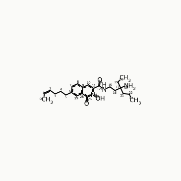 C/C=C\CCCc1ccc2cc(C(=O)NCCC(N)(CC)CCC)n(O)c(=O)c2c1